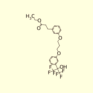 CCOC(=O)CCc1cccc(OCCCOc2cccc(C(O)(C(F)(F)F)C(F)(F)F)c2)c1